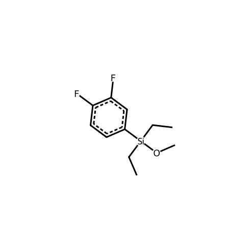 CC[Si](CC)(OC)c1ccc(F)c(F)c1